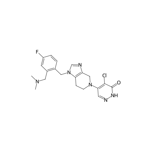 CN(C)Cc1cc(F)ccc1Cn1cnc2c1CCN(c1cn[nH]c(=O)c1Cl)C2